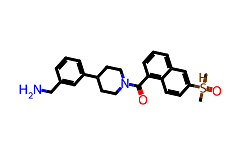 C[SH](C)(=O)c1ccc2c(C(=O)N3CCC(c4cccc(CN)c4)CC3)cccc2c1